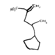 C=C(CC(C)C1CCCC1)C(=O)O